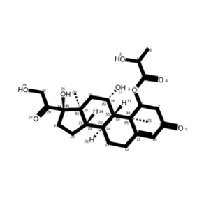 CC(O)C(=O)OC1CC(=O)C=C2CC[C@@H]3[C@H]([C@@H](O)C[C@@]4(C)[C@H]3CC[C@]4(O)C(=O)CO)[C@]21C